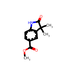 COC(=O)c1ccc2c(c1)C(C)(C)C(=O)N2